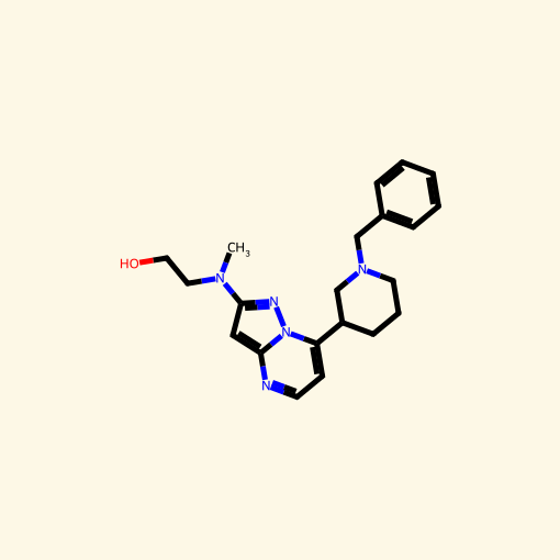 CN(CCO)c1cc2nccc(C3CCCN(Cc4ccccc4)C3)n2n1